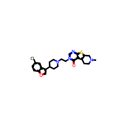 CN1CCc2c(sc3ncn(CCN4CCC(c5coc6ccc(Cl)cc56)CC4)c(=O)c23)C1